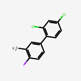 FC(F)(F)c1cc(-c2ccc(Cl)cc2Cl)ccc1I